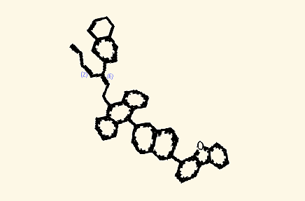 C=C/C=C\C(=C/Cc1c2ccccc2c(-c2ccc3cc(-c4cccc5c4oc4ccccc45)ccc3c2)c2ccccc12)c1ccc2c(c1)C=CCC2